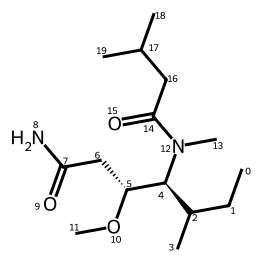 CCC(C)[C@@H]([C@@H](CC(N)=O)OC)N(C)C(=O)CC(C)C